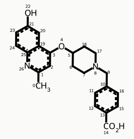 Cc1cc(OC2CCN(Cc3ccc(C(=O)O)cc3)CC2)c2cc(O)ccc2n1